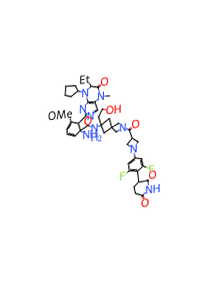 CCC1C(=O)N(C)c2cnc(C3C(OC)=CC=CC3(N)C(=O)NC3(CCO)CC4(CN(C(=O)C5CN(c6cc(F)c(C7CCC(=O)NC7=O)c(F)c6)C5)C4)C3)nc2N1C1CCCC1